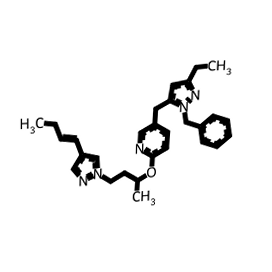 CC/C=C/c1cnn(CCC(C)Oc2ccc(Cc3cc(CC)nn3Cc3ccccc3)cn2)c1